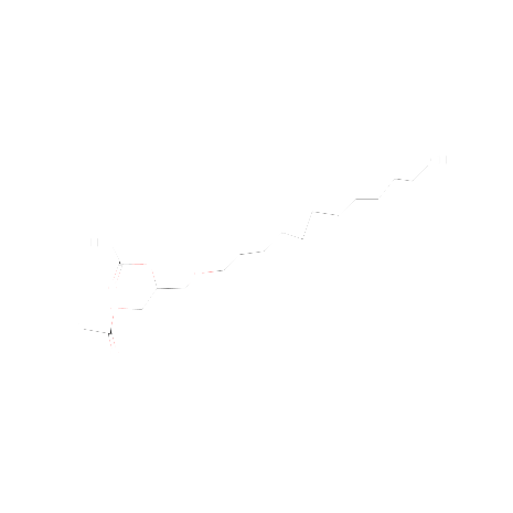 CCCCCCCCCCCCOCC(COC(C)=O)OC(C)=O